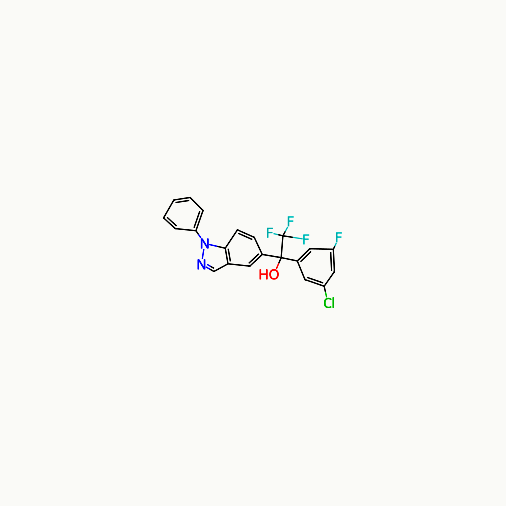 OC(c1cc(F)cc(Cl)c1)(c1ccc2c(cnn2-c2ccccc2)c1)C(F)(F)F